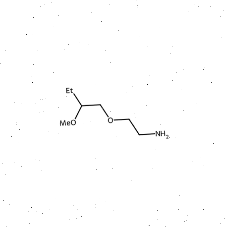 CCC(COCCN)OC